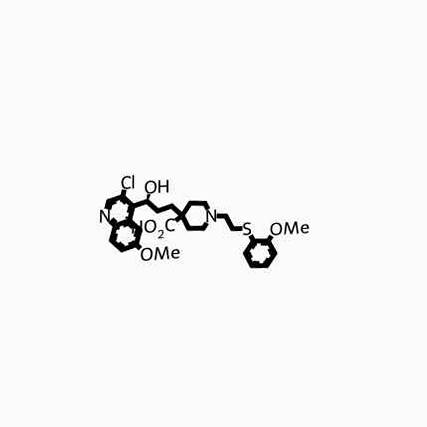 COc1ccc2ncc(Cl)c([C@@H](O)CCC3(C(=O)O)CCN(CCSc4ccccc4OC)CC3)c2c1